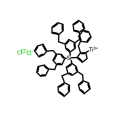 [Cl-].[Cl-].[Cl-].[Ti+3][C]1=C(Cc2ccccc2)C([Si](c2cc(Cc3ccccc3)cc(Cc3ccccc3)c2)(c2cc(Cc3ccccc3)cc(Cc3ccccc3)c2)c2cc(Cc3ccccc3)cc(Cc3ccccc3)c2)=CC1